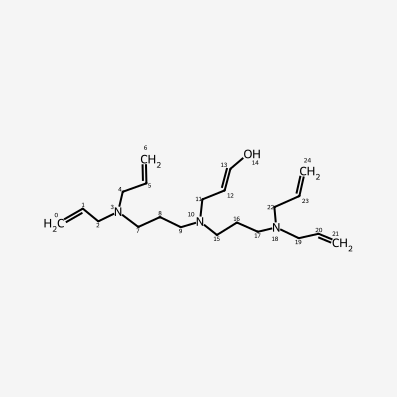 C=CCN(CC=C)CCCN(CC=CO)CCCN(CC=C)CC=C